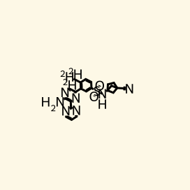 [2H]C([2H])([2H])c1ccc(S(=O)(=O)NC23CCC(C#N)(C2)C3)cc1-c1cnc(N)c(-c2ncccn2)n1